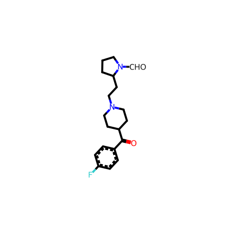 O=CN1CCCC1CCN1CCC(C(=O)c2ccc(F)cc2)CC1